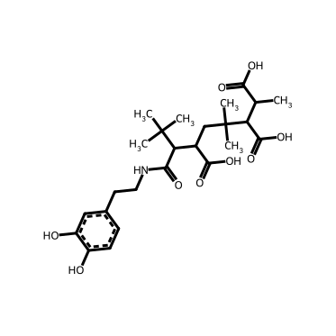 CC(C(=O)O)C(C(=O)O)C(C)(C)CC(C(=O)O)C(C(=O)NCCc1ccc(O)c(O)c1)C(C)(C)C